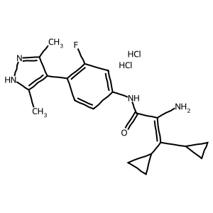 Cc1n[nH]c(C)c1-c1ccc(NC(=O)C(N)=C(C2CC2)C2CC2)cc1F.Cl.Cl